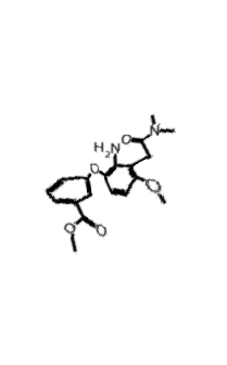 COC(=O)c1cccc(Oc2ccc(OC)c(CC(=O)N(C)C)c2N)c1